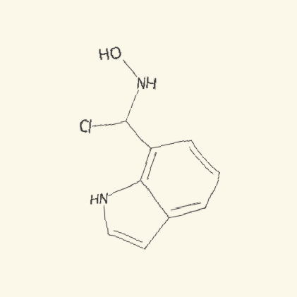 ONC(Cl)c1cccc2cc[nH]c12